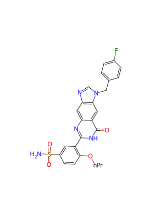 CCCOc1ccc(S(N)(=O)=O)cc1-c1nc2cc3ncn(Cc4ccc(F)cc4)c3cc2c(=O)[nH]1